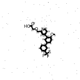 COc1ccc(-c2cccc(C(F)(F)F)c2)cc1-c1ccnc(COCC(=O)O)c1